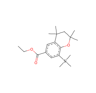 CCOC(=O)c1cc2c(c([Si](C)(C)C)c1)OC(C)(C)CC2(C)C